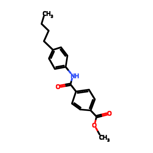 CCCCc1ccc(NC(=O)c2ccc(C(=O)OC)cc2)cc1